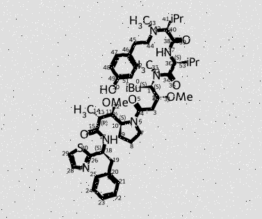 CC[C@H](C)[C@@H]([C@@H](CC(=O)N1CCC[C@H]1[C@H](OC)[C@@H](C)C(=O)N[C@@H](Cc1ccccc1)c1nccs1)OC)N(C)C(=O)[C@@H](NC(=O)[C@H](C(C)C)N(C)CCc1ccc(O)cc1)C(C)C